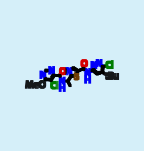 COc1ncnc(C(=O)NC(C)c2ncc(C(=O)Nc3cc(C(C)(C)C)c(Cl)nn3)s2)c1Cl